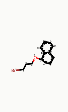 BrCCCOc1c[c]cc2ccccc12